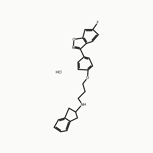 Cl.Fc1ccc2c(-c3ccc(OCCCNC4Cc5ccccc5C4)cc3)noc2c1